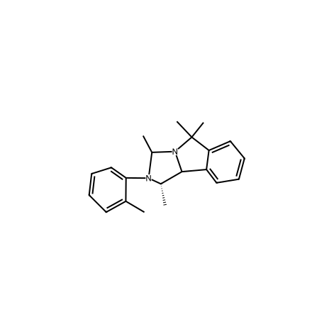 Cc1ccccc1N1C(C)N2C(c3ccccc3C2(C)C)[C@@H]1C